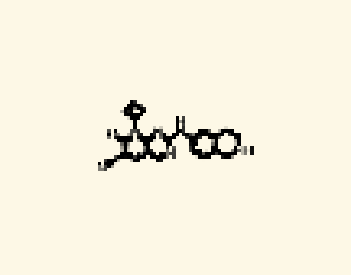 N#Cc1cc2cnc(Nc3ccc4c(c3)CCNC4)nc2n(C23CC(C2)C3)c1=O